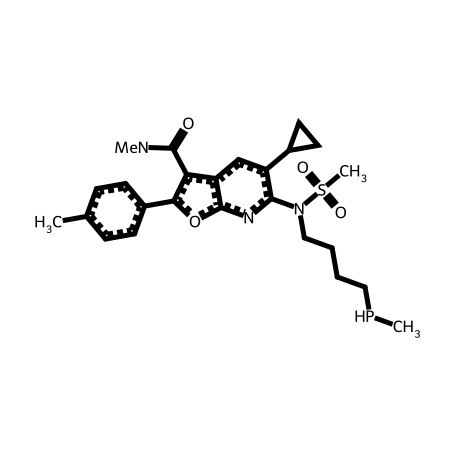 CNC(=O)c1c(-c2ccc(C)cc2)oc2nc(N(CCCCPC)S(C)(=O)=O)c(C3CC3)cc12